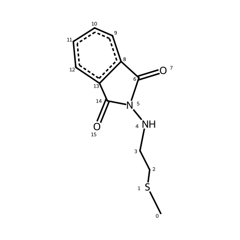 CSCCNN1C(=O)c2ccccc2C1=O